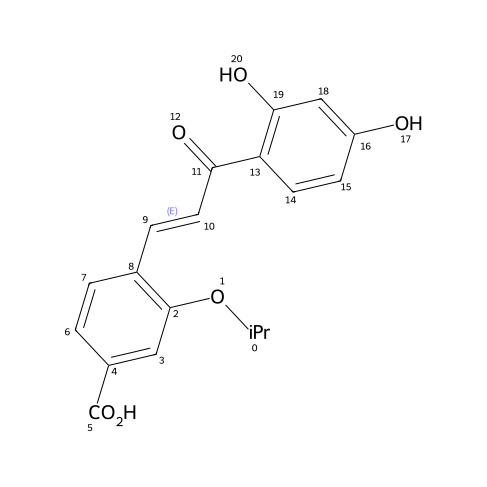 CC(C)Oc1cc(C(=O)O)ccc1/C=C/C(=O)c1ccc(O)cc1O